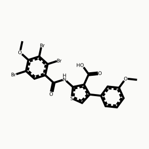 COc1cccc(-c2csc(NC(=O)c3cc(Br)c(OC)c(Br)c3Br)c2C(=O)O)c1